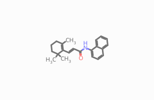 CC1=C(C=CC(=O)Nc2cccc3ccccc23)C(C)(C)CCC1